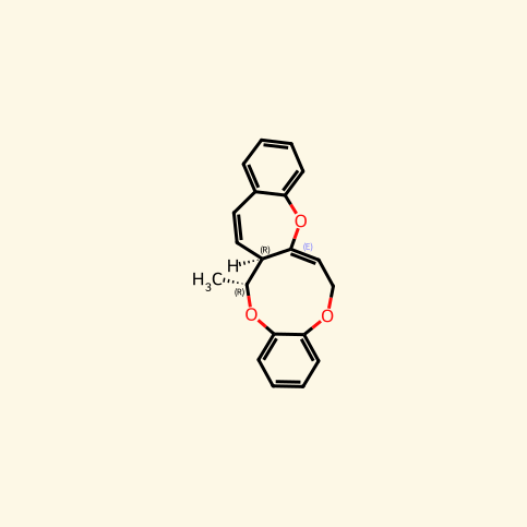 C[C@H]1Oc2ccccc2OC/C=C2/Oc3ccccc3C=C[C@@H]21